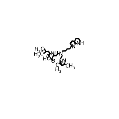 CCC(CC)CC(=O)NC(CCN(CCCCc1ccc2c(n1)NCCC2)CCn1nc(C)cc1C)C(=O)O